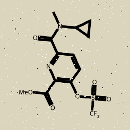 COC(=O)c1nc(C(=O)N(C)C2CC2)ccc1OS(=O)(=O)C(F)(F)F